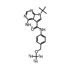 [2H]C([2H])([2H])OCc1ccc(NC(=O)c2cn(C(C)(C)C)c3ncnc(N)c23)cc1